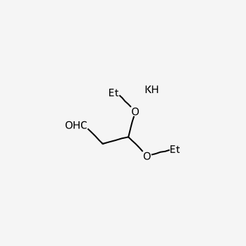 CCOC(CC=O)OCC.[KH]